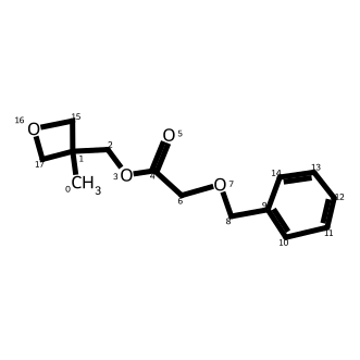 CC1(COC(=O)COCc2ccccc2)COC1